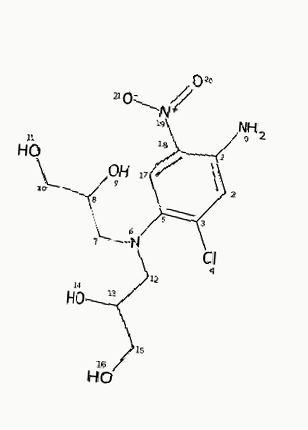 Nc1cc(Cl)c(N(CC(O)CO)CC(O)CO)cc1[N+](=O)[O-]